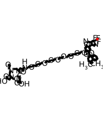 CC1(C)CCN(S(=O)(=O)c2cc(-c3cnc(C(F)(F)F)cc3C#N)c(Cl)cc2OCCOCCOCCOCCOCCOCCOCCOCCOCCNC(=O)CN2CCN(CC=O)CCN(CC(=O)O)CCN(CC(=O)O)CC2)c2ccccc21